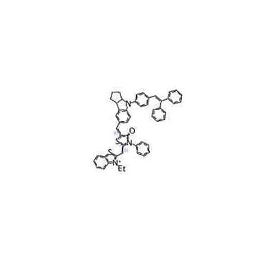 CC[n+]1c(/C=c2\s/c(=C/c3ccc4c(c3)C3CCCC3N4c3ccc(C=C(c4ccccc4)c4ccccc4)cc3)c(=O)n2-c2ccccc2)sc2ccccc21